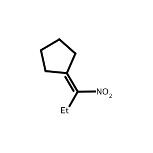 CCC(=C1CCCC1)[N+](=O)[O-]